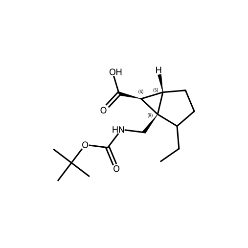 CCC1CC[C@H]2[C@H](C(=O)O)[C@@]12CNC(=O)OC(C)(C)C